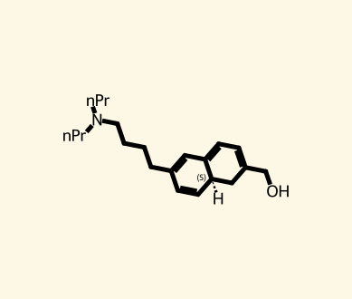 CCCN(CCC)CCCCC1=CC2=CC=C(CO)C[C@H]2C=C1